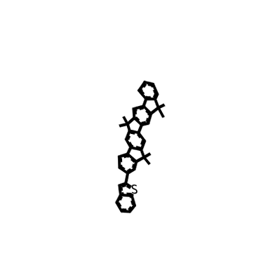 CC1(C)c2ccccc2-c2cc3c(cc21)-c1cc2c(cc1C3(C)C)-c1ccc(-c3cc4ccccc4s3)cc1C2(C)C